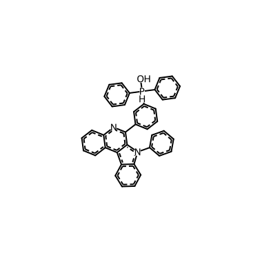 O[PH](c1ccccc1)(c1ccccc1)c1cccc(-c2nc3ccccc3c3c4ccccc4n(-c4ccccc4)c23)c1